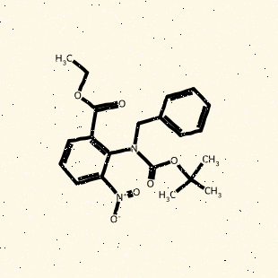 CCOC(=O)c1cccc([N+](=O)[O-])c1N(Cc1ccccc1)C(=O)OC(C)(C)C